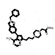 CNC(=O)CN1CCN(CCCc2cc(-c3ccc4cn(Cc5ccccc5)nc4c3)c3c(N)ncnn23)CC1